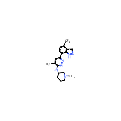 Cc1cc(-c2ccc(C(F)(F)F)c3cn[nH]c23)nnc1N[C@@H]1CCCN(C)C1